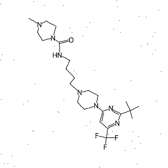 CN1CCN(C(=O)NCCCCN2CCN(c3cc(C(F)(F)F)nc(C(C)(C)C)n3)CC2)CC1